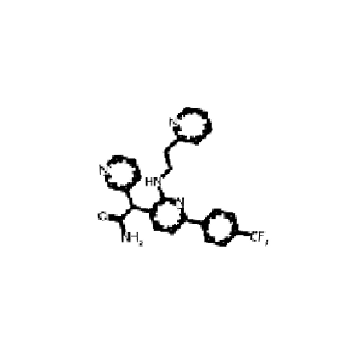 NC(=O)C(c1cccnc1)c1ccc(-c2ccc(C(F)(F)F)cc2)nc1NCCc1ccccn1